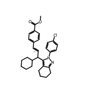 COC(=O)c1ccc(/C=C/C(c2c3c(nn2-c2ccc(Cl)cc2)CCCC3)C2CCCCC2)cc1